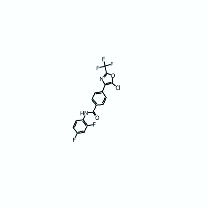 O=C(Nc1ccc(F)cc1F)c1ccc(-c2nc(C(F)(F)F)oc2Cl)cc1